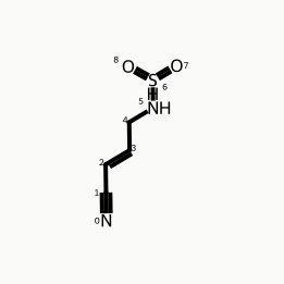 N#CC=CCN[SH](=O)=O